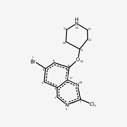 Clc1ncc2cc(Br)cc(OC3CCNCC3)c2n1